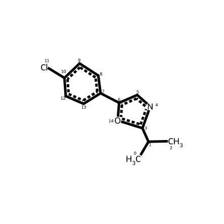 CC(C)c1ncc(-c2ccc(Cl)cc2)o1